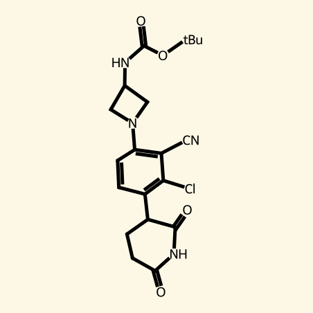 CC(C)(C)OC(=O)NC1CN(c2ccc(C3CCC(=O)NC3=O)c(Cl)c2C#N)C1